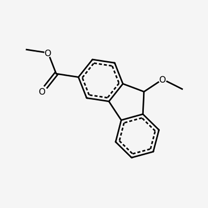 COC(=O)c1ccc2c(c1)-c1ccccc1C2OC